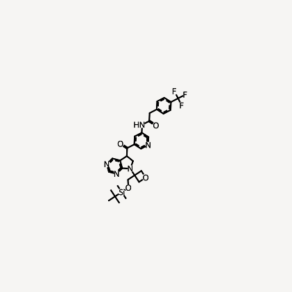 CC(C)(C)[Si](C)(C)OCC1(N2CC(C(=O)c3cncc(NC(=O)Cc4ccc(C(F)(F)F)cc4)c3)c3cncnc32)COC1